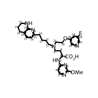 COc1nccc(N[C@@H](CCN(CCCCc2ccc3c(n2)NCCC3)CCOc2cncc(F)c2)C(=O)O)n1